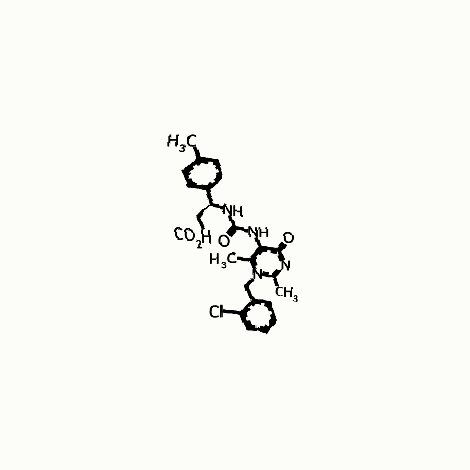 Cc1ccc([C@H](CC(=O)O)NC(=O)Nc2c(C)n(Cc3ccccc3Cl)c(C)nc2=O)cc1